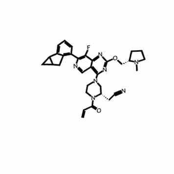 C=CC(=O)N1CCN(c2nc(OC[C@@H]3CCCN3C)nc3c(F)c(-c4cccc5c4CC4CC54)ncc23)C[C@@H]1CC#N